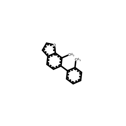 Cc1ccccc1-c1ccc2ccoc2c1C